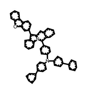 c1ccc(-c2ccc(N(c3ccc(-c4ccccc4)cc3)c3ccc(-c4c5ccccc5cc5c(-c6ccc7c(c6)oc6ccccc67)c6ccccc6n45)cc3)cc2)cc1